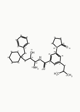 CC(C)Cc1cc(C(=O)NC(N)C(O)CC2(Cc3ccccc3)CCCCC2)cc(N2CCCC2=O)c1